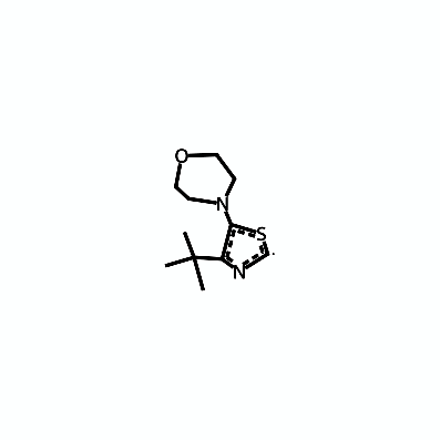 CC(C)(C)c1n[c]sc1N1CCOCC1